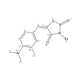 CCN1C(=O)S/C(=C/c2ccc(N(C)C)c(C)c2)C1=O